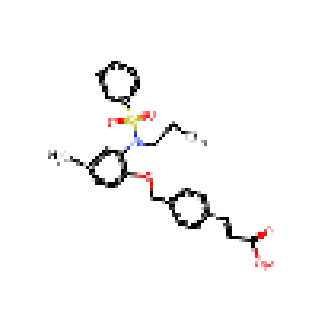 CCCN(c1cc(C)ccc1OCc1ccc(C=CC(=O)O)cc1)S(=O)(=O)c1ccccc1